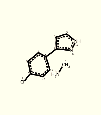 CN.Clc1ccc(-c2cc[nH]n2)cc1